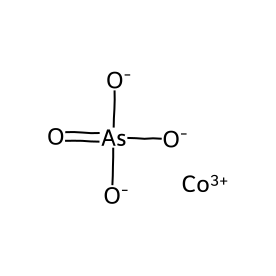 O=[As]([O-])([O-])[O-].[Co+3]